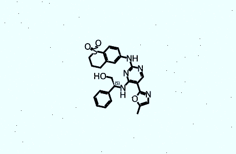 Cc1cnc(-c2cnc(Nc3ccc4c(c3)CCCS4(=O)=O)nc2N[C@H](CO)c2ccccc2)o1